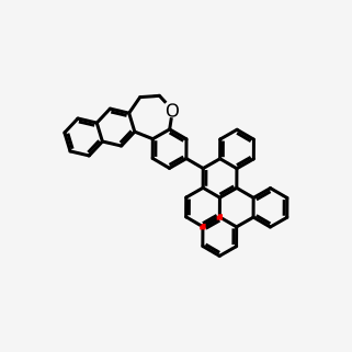 c1ccc(-c2ccccc2-c2c3ccccc3c(-c3ccc4c(c3)OCCc3cc5ccccc5cc3-4)c3ccccc23)cc1